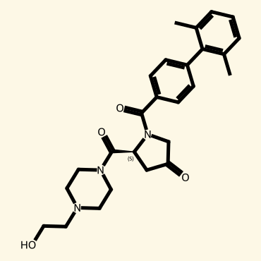 Cc1cccc(C)c1-c1ccc(C(=O)N2CC(=O)C[C@H]2C(=O)N2CCN(CCO)CC2)cc1